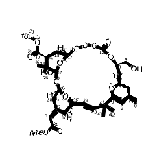 C=C1C=C2O[C@@H](C1)C[C@H](CO)OC(=O)CCC[C@@H]1C[C@H](C(=O)OC(C)(C)C)C(C)(C)[C@](O)(C[C@@H]3C/C(=C/C(=O)OC)C[C@H](/C=C/C2(C)C)O3)O1